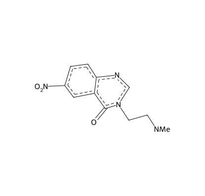 CNCCn1cnc2ccc([N+](=O)[O-])cc2c1=O